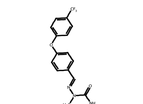 CN(N=Cc1ccc(Oc2ccc(C(F)(F)F)cc2)cc1)C(N)=O